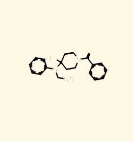 CNCN(c1ccccc1)C1(C=O)CCN(C(=O)c2ccccc2)CC1